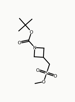 COS(=O)(=O)CC1CN(C(=O)OC(C)(C)C)C1